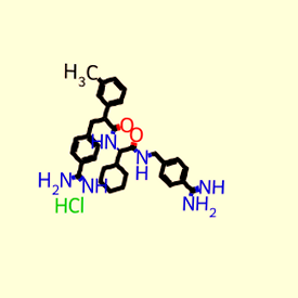 Cc1cccc(C(Cc2ccc(C(=N)N)cc2)C(=O)N[C@H](C(=O)NCc2ccc(C(=N)N)cc2)C2CCCCC2)c1.Cl